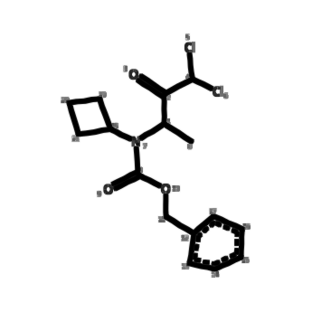 CC(C(=O)C(Cl)Cl)N(C(=O)OCc1ccccc1)C1CCC1